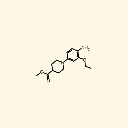 CCOc1cc(N2CCC(C(=O)OC)CC2)ccc1N